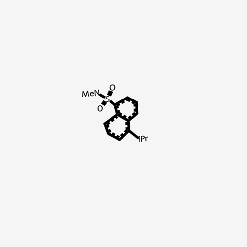 CNS(=O)(=O)c1cccc2c(C(C)C)cccc12